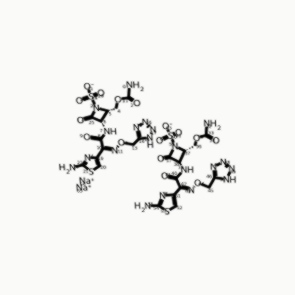 NC(=O)OC[C@@H]1[C@H](NC(=O)/C(=N\OCc2nnn[nH]2)c2csc(N)n2)C(=O)N1S(=O)(=O)[O-].NC(=O)OC[C@@H]1[C@H](NC(=O)/C(=N\OCc2nnn[nH]2)c2csc(N)n2)C(=O)N1S(=O)(=O)[O-].[Na+].[Na+]